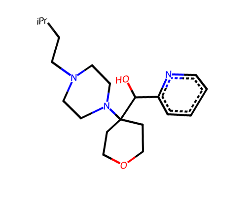 CC(C)CCN1CCN(C2(C(O)c3ccccn3)CCOCC2)CC1